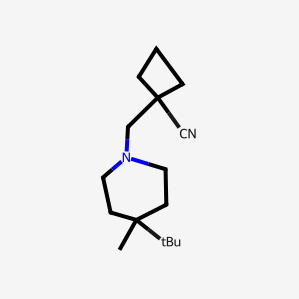 CC(C)(C)C1(C)CCN(CC2(C#N)CCC2)CC1